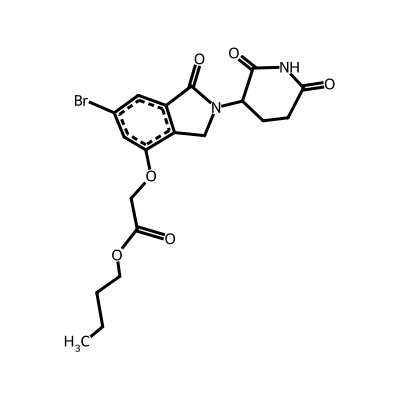 CCCCOC(=O)COc1cc(Br)cc2c1CN(C1CCC(=O)NC1=O)C2=O